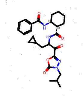 CC(C)Cn1nc(C(=O)C(CC2CC2)NC(=O)[C@@H]2CCCC[C@@H]2NC(=O)c2ccccc2)oc1=O